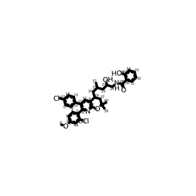 COc1ccc(-c2nc3c(cc2-c2ccc(Cl)cc2)C(CC(C)CC(O)CNC(=O)c2ccccc2O)CC(C)(C)O3)c(Cl)c1